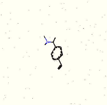 C=Cc1ccc(C(C)N(C)C)cc1